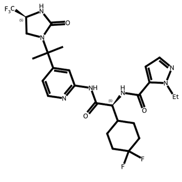 CCn1nccc1C(=O)N[C@H](C(=O)Nc1cc(C(C)(C)N2C[C@@H](C(F)(F)F)NC2=O)ccn1)C1CCC(F)(F)CC1